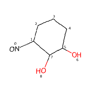 O=NC1CCCC(O)C1O